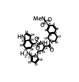 CNS(=O)(=O)c1ccc2c(c1)CN(C(=O)C(CCn1cccc1N)NS(=O)(=O)c1cccc3[nH]ccc13)CC2